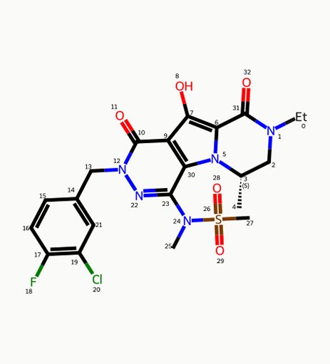 CCN1C[C@H](C)n2c(c(O)c3c(=O)n(Cc4ccc(F)c(Cl)c4)nc(N(C)S(C)(=O)=O)c32)C1=O